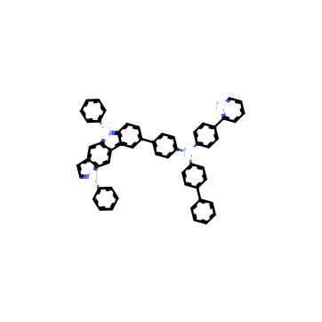 c1ccc(-c2ccc(N(c3ccc(-c4ccc5c(c4)c4cc6c(ccn6-c6ccccc6)cc4n5-c4ccccc4)cc3)c3ccc(-c4ccccn4)cc3)cc2)cc1